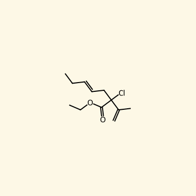 C=C(C)C(Cl)(CC=CCC)C(=O)OCC